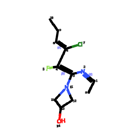 C\C=N/C(=C(F)\C(Cl)=C\CC)N1CC(O)C1